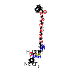 CC1(C)C(=O)N(c2ccc(C#N)c(C(F)(F)F)c2)N[SH]1CCCn1cc(COCCOCCOCCOCCOCCOC(=O)CC23CC4CC(CC(C4)C2)C3)nn1